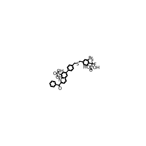 O=C(c1ccccc1)c1ccc2cc(-c3ccc(CSCc4ccc(C(F)(F)P(=O)(O)O)c(Br)c4)cc3)cc(P(=O)(O)O)c2n1